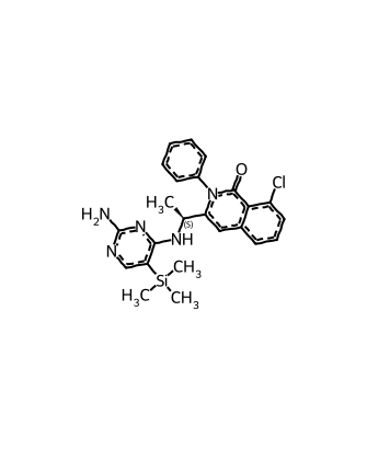 C[C@H](Nc1nc(N)ncc1[Si](C)(C)C)c1cc2cccc(Cl)c2c(=O)n1-c1ccccc1